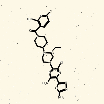 CC[C@H]1CN(c2nc(N)c(-c3nnc(N)o3)nc2Cl)CCN1C1CCN(C(=O)c2ccc(Cl)nc2N)CC1